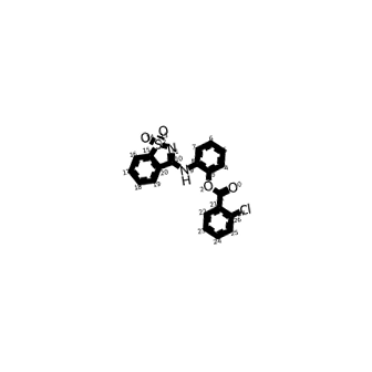 O=C(Oc1ccccc1NC1=NS(=O)(=O)c2ccccc21)c1ccccc1Cl